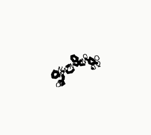 COc1cc(C(=O)N2CCC(CCN3CCCN(c4nc5ccccc5n4Cc4ccoc4)CC3)(c3ccccc3)C2)cc(OC)c1OC